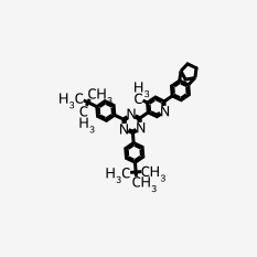 Cc1cc(-c2ccc3c(c2)C2CCC3C2)ncc1-c1nc(-c2ccc(C(C)(C)C)cc2)nc(-c2ccc(C(C)(C)C)cc2)n1